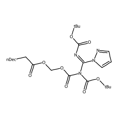 CCCCCCCCCCCC(=O)OCOC(=O)N(C(=O)OC(C)(C)C)C(=NC(=O)OC(C)(C)C)n1cccn1